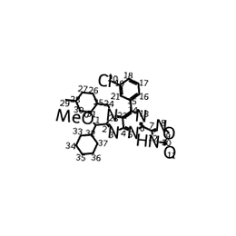 COC(c1nc2nc(-c3noc(=O)[nH]3)nc(-c3cccc(Cl)c3)c2n1CC1CCC(C)CC1)C1CCCCC1